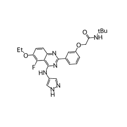 CCOc1ccc2nc(-c3cccc(OCC(=O)NC(C)(C)C)c3)nc(Nc3cn[nH]c3)c2c1F